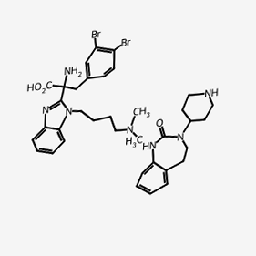 CN(C)CCCCn1c(C(N)(Cc2ccc(Br)c(Br)c2)C(=O)O)nc2ccccc21.O=C1Nc2ccccc2CCN1C1CCNCC1